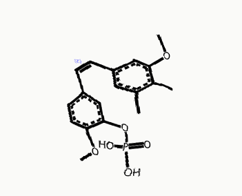 COc1ccc(/C=C\c2cc(C)c(C)c(OC)c2)cc1OP(=O)(O)O